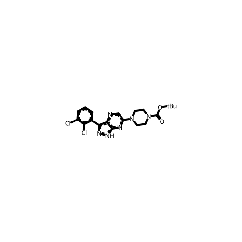 CC(C)(C)OC(=O)N1CCN(c2cnc3c(-c4cccc(Cl)c4Cl)n[nH]c3n2)CC1